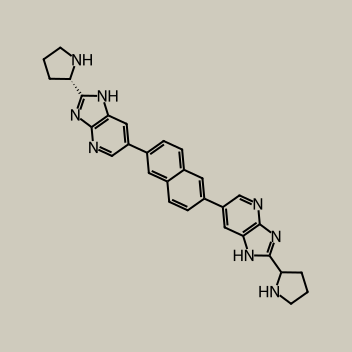 c1cc2cc(-c3cnc4nc([C@@H]5CCCN5)[nH]c4c3)ccc2cc1-c1cnc2nc(C3CCCN3)[nH]c2c1